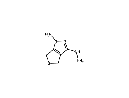 NNc1nn(N)c2c1CSC2